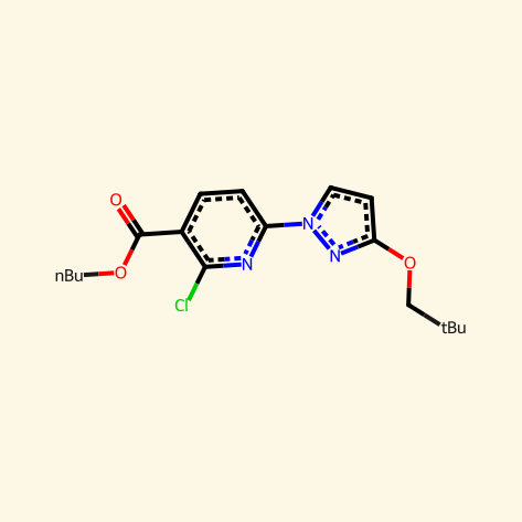 CCCCOC(=O)c1ccc(-n2ccc(OCC(C)(C)C)n2)nc1Cl